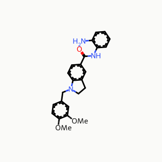 COc1ccc(CN2CCc3cc(C(=O)Nc4ccccc4N)ccc32)cc1OC